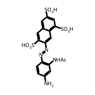 CC(=O)Nc1cc(N)ccc1N=Nc1cc2c(S(=O)(=O)O)cc(S(=O)(=O)O)cc2cc1S(=O)(=O)O